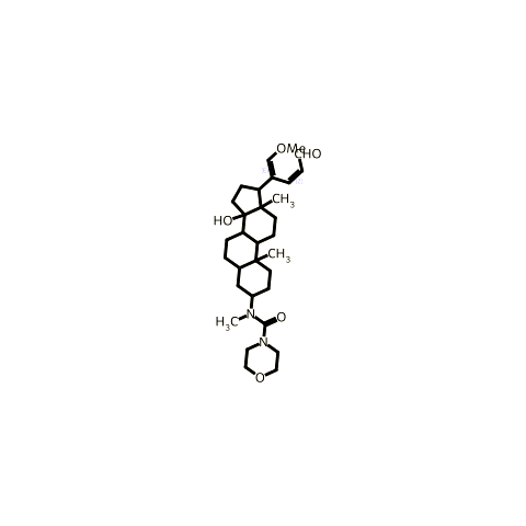 CO/C=C(\C=C/C=O)C1CCC2(O)C3CCC4CC(N(C)C(=O)N5CCOCC5)CCC4(C)C3CCC12C